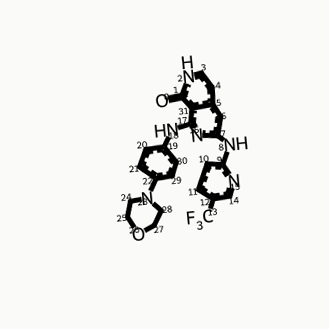 O=c1[nH]ccc2cc(Nc3ccc(C(F)(F)F)cn3)nc(Nc3ccc(N4CCOCC4)cc3)c12